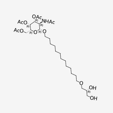 CC(=O)N[C@H]1[C@H](OCCCCCCCCCCCCCOC[C@H](O)CO)O[C@H](COC(C)=O)[C@H](OC(C)=O)[C@@H]1OC(C)=O